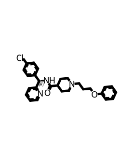 O=C(N[C@H](c1ccc(Cl)cc1)c1ccccn1)C1CCN(CCCOc2ccccc2)CC1